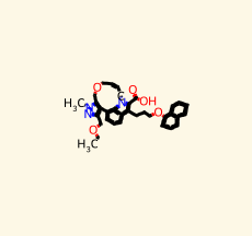 CCOCc1nn(C)c2c1-c1cccc3c(CCCOc4cccc5ccccc45)c(C(=O)O)n(c13)C/C=C\COC2